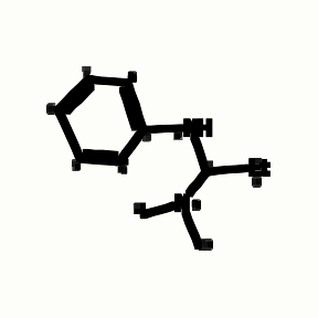 CCC(Nc1[c]cccc1)N(C)C